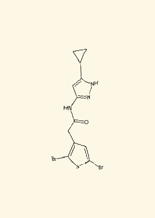 O=C(Cc1cc(Br)sc1Br)Nc1cc(C2CC2)[nH]n1